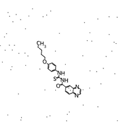 CCCCCOc1ccc(NC(=S)NC(=O)c2ccc3nccnc3c2)cc1